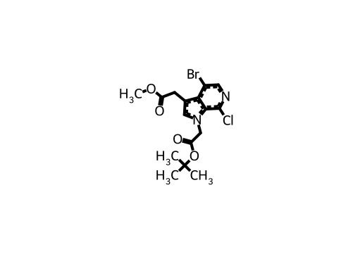 COC(=O)Cc1cn(CC(=O)OC(C)(C)C)c2c(Cl)ncc(Br)c12